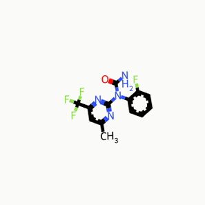 Cc1cc(C(F)(F)F)nc(N(C(N)=O)c2ccccc2F)n1